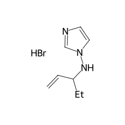 Br.C=CC(CC)Nn1ccnc1